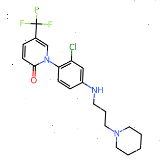 O=c1ccc(C(F)(F)F)cn1-c1ccc(NCCCN2CCCCC2)cc1Cl